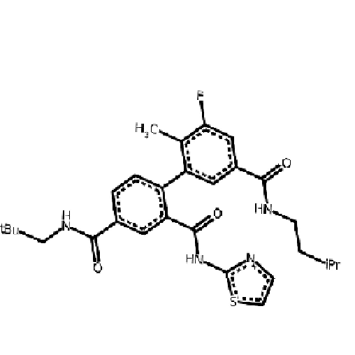 Cc1c(F)cc(C(=O)NCCC(C)C)cc1-c1ccc(C(=O)NCC(C)(C)C)cc1C(=O)Nc1nccs1